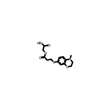 CCCCC(CC)COC(=O)CCSc1ccc2c(c1)OCCN2C